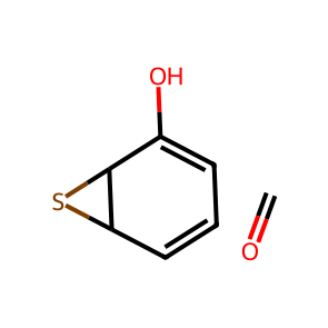 C=O.OC1=CC=CC2SC12